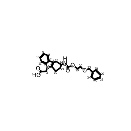 O=C(O)Cn1c2c(c3ccccc31)CC(NC(=O)OCCOCc1ccccc1)CC2